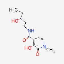 CCC(O)CCNC(=O)c1ccn(C)c(=O)c1O